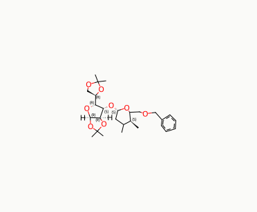 CC1C[C@H](O[C@@H]2[C@H]3OC(C)(C)O[C@H]3O[C@@H]2[C@H]2COC(C)(C)O2)OC(COCc2ccccc2)[C@H]1C